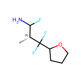 C[C@H](C(N)F)C(F)(F)C1CCCO1